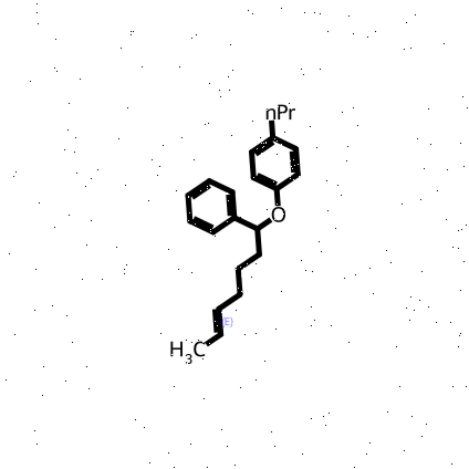 C/C=C/CCCC(Oc1ccc(CCC)cc1)c1ccccc1